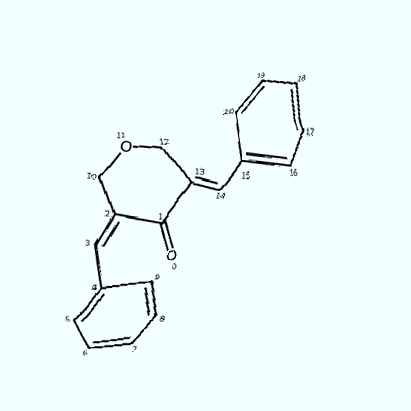 O=C1/C(=C\c2ccccc2)COC/C1=C\c1ccccc1